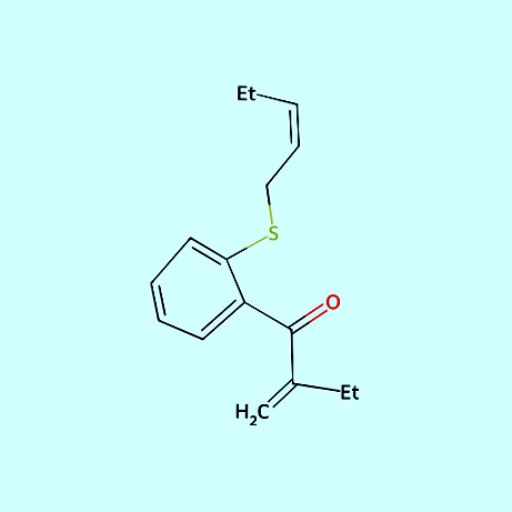 C=C(CC)C(=O)c1ccccc1SC/C=C\CC